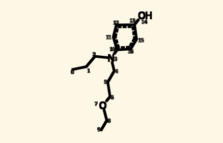 CCCN(CCCOCC)c1ccc(O)cc1